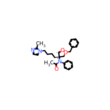 CC(=O)N(c1ccccc1)[C@@]([C]=O)(CCCCn1ccnc1C)COCc1ccccc1